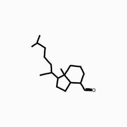 CC(C)CCCC(C)C1CCC2C(C=O)CCCC12C